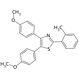 COc1ccc(-c2nc(-c3ccccc3C)sc2-c2ccc(OC)cc2)cc1